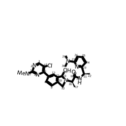 CNc1ncc(Cl)c(-c2ccc3c(c2)C(O)N([C@H](C)C(=O)N[C@H](C)c2cccc(N(C)C)n2)C3)n1